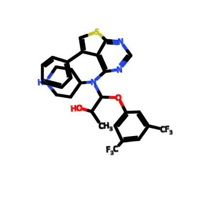 CC(O)C(Oc1cc(C(F)(F)F)cc(C(F)(F)F)c1)N(c1ncnc2scc(-c3ccccc3)c12)C1CCNCC1